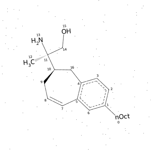 CCCCCCCCc1ccc2c(c1)C=CC[C@@H]([C@@](C)(N)CO)C2